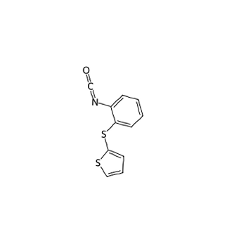 O=C=Nc1ccccc1Sc1cccs1